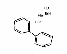 Br.Br.Br.Br.c1ccc(-c2ccccc2)cc1